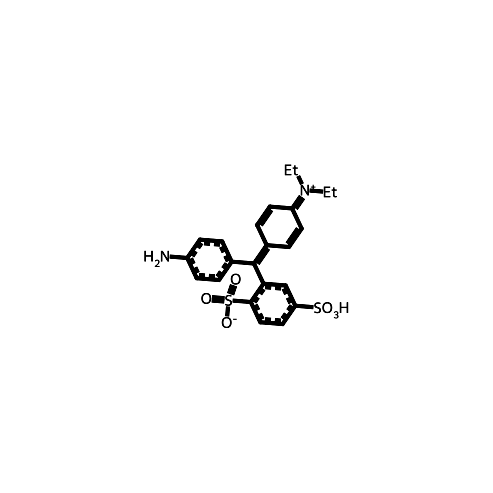 CC[N+](CC)=C1C=CC(=C(c2ccc(N)cc2)c2cc(S(=O)(=O)O)ccc2S(=O)(=O)[O-])C=C1